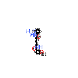 CCOc1cccc(C(=O)NCCCCCC(=O)Nc2ccccc2N)c1